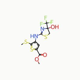 COC(=O)c1cc(NC2=NC(O)(C(F)(F)F)CS2)c(SC)s1